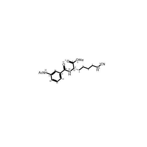 COC(=O)[C@H](CCCCBC#N)NC(=O)c1cccc(NC(C)=O)c1